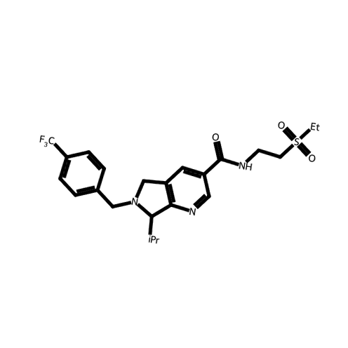 CCS(=O)(=O)CCNC(=O)c1cnc2c(c1)CN(Cc1ccc(C(F)(F)F)cc1)C2C(C)C